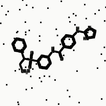 O=C(O)CC(c1ccccc1)S(=O)(=O)c1cccc(NC(=O)c2ccc(Nc3ncc[nH]3)cc2)c1